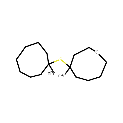 CCCC1(SC2(CCC)CCCCCCC2)CCCCCCC1